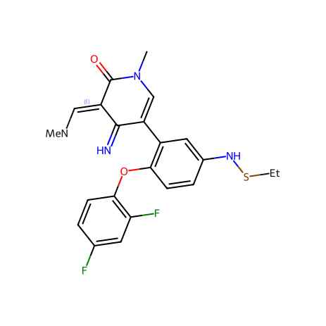 CCSNc1ccc(Oc2ccc(F)cc2F)c(C2=CN(C)C(=O)/C(=C/NC)C2=N)c1